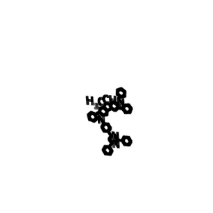 CC1(C)c2cc3c4ccccc4n(-c4ccc(-c5cc(-c6ccccc6)nc(-c6ccccc6)n5)cc4)c3cc2-c2cc3c4ccccc4n(-c4ccccc4)c3cc21